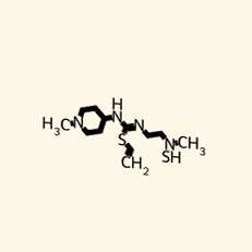 C=CS/C(=N\CCN(C)S)NC1CCN(C)CC1